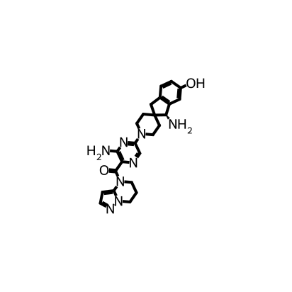 Nc1nc(N2CCC3(CC2)Cc2ccc(O)cc2[C@H]3N)cnc1C(=O)N1CCCn2nccc21